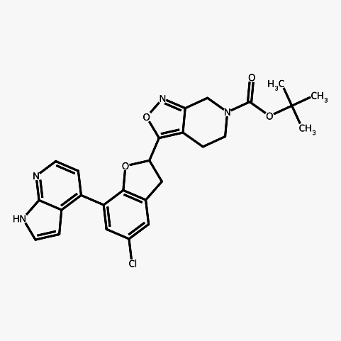 CC(C)(C)OC(=O)N1CCc2c(noc2C2Cc3cc(Cl)cc(-c4ccnc5[nH]ccc45)c3O2)C1